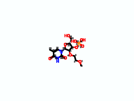 COCCO[C@@H]1[C@H](OP(=O)(O)O)[C@@H](CO)O[C@H]1n1cc(C)c(=O)[nH]c1=O